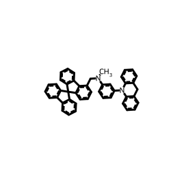 CN(Cc1cccc2c1-c1ccccc1C21c2ccccc2-c2ccccc21)c1cccc(N2c3ccccc3Cc3ccccc32)c1